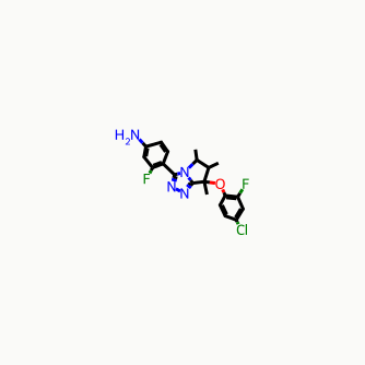 CC1C(C)C(C)(Oc2ccc(Cl)cc2F)c2nnc(-c3ccc(N)cc3F)n21